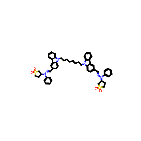 O=S1(=O)CCC(N(/N=C/c2ccc3c(c2)c2ccccc2n3CCCCCCCCn2c3ccccc3c3cc(/C=N/N(c4ccccc4)C4CCS(=O)(=O)C4)ccc32)c2ccccc2)C1